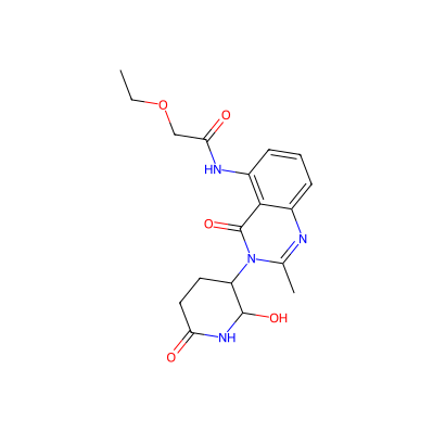 CCOCC(=O)Nc1cccc2nc(C)n(C3CCC(=O)NC3O)c(=O)c12